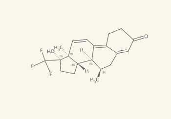 C[C@@H]1CC2=CC(=O)CCC2=C2C=C[C@@]3(C)[C@@H](CC[C@@]3(O)C(F)(F)F)[C@@H]21